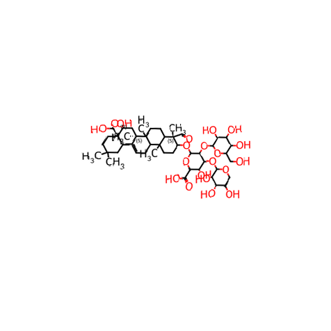 CC1(C)CC[C@@]2(C(=O)O)C(C1)C1=CCC3C4(C)CCC(OC5OC(C(=O)O)C(O)C(OC6OCC(O)C(O)C6O)C5OC5OC(CO)C(O)C(O)C5O)[C@@](C)(C=O)C4CCC3(C)[C@]1(C)C[C@H]2O